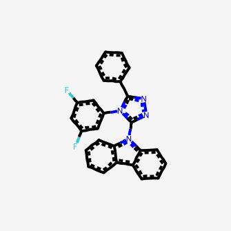 Fc1cc(F)cc(-n2c(-c3ccccc3)nnc2-n2c3ccccc3c3ccccc32)c1